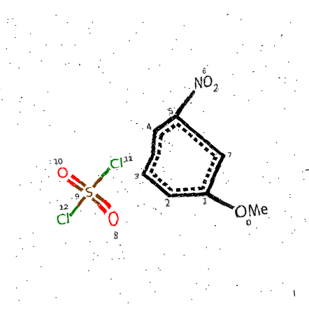 COc1cccc([N+](=O)[O-])c1.O=S(=O)(Cl)Cl